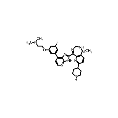 C[C@H]1NCN=C(c2nc3c(-c4cc(F)cc(OCCN(C)C)c4)ccnc3[nH]2)c2nc(C3CCNCC3)ccc21